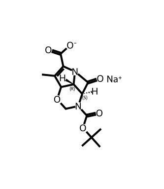 CC1=C(C(=O)[O-])N2C(=O)[C@@H]3[C@@H]2C1OCN3C(=O)OC(C)(C)C.[Na+]